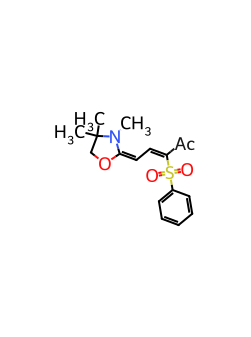 CC(=O)/C(=C/C=C1/OCC(C)(C)N1C)S(=O)(=O)c1ccccc1